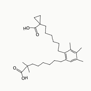 Cc1cc(CCCCCCC(C)(C)C(=O)O)c(CCCCCCC2(C(=O)O)CC2)c(C)c1C